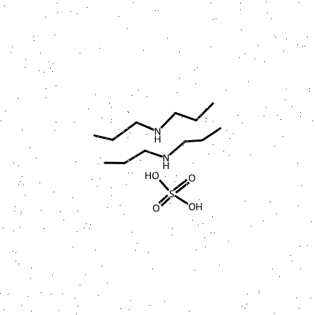 CCCNCCC.CCCNCCC.O=S(=O)(O)O